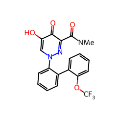 CNC(=O)c1nn(-c2ccccc2-c2ccccc2OC(F)(F)F)cc(O)c1=O